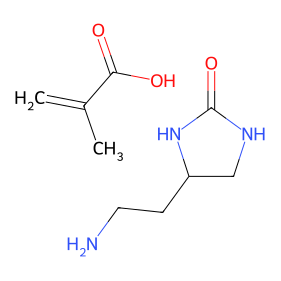 C=C(C)C(=O)O.NCCC1CNC(=O)N1